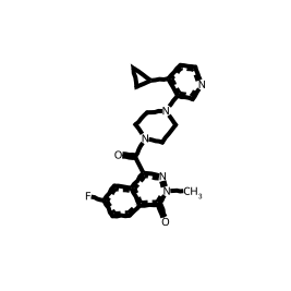 Cn1nc(C(=O)N2CCN(c3cnccc3C3CC3)CC2)c2cc(F)ccc2c1=O